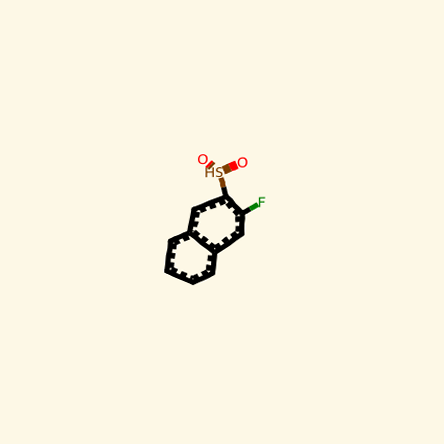 O=[SH](=O)c1cc2ccccc2cc1F